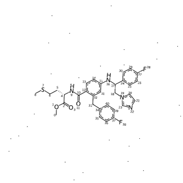 COC(=O)[C@H](CCSC)NC(=O)c1ccc(NC(Cn2ccnc2)c2ccc(F)cc2)cc1Cc1ccc(F)cc1